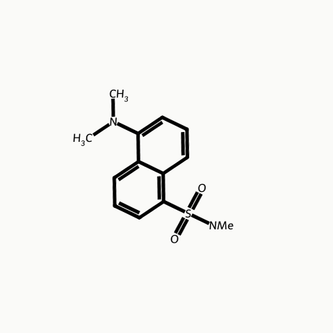 [CH2]NS(=O)(=O)c1cccc2c(N(C)C)cccc12